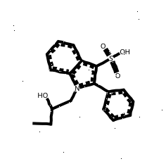 CCC(O)Cn1c(-c2ccccc2)c(S(=O)(=O)O)c2ccccc21